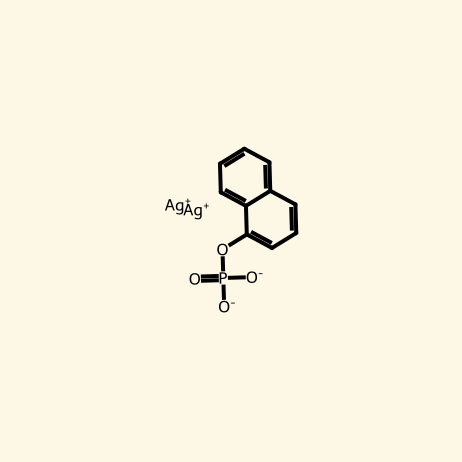 O=P([O-])([O-])Oc1cccc2ccccc12.[Ag+].[Ag+]